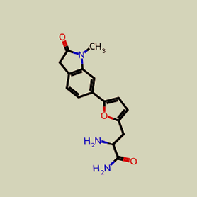 CN1C(=O)Cc2ccc(-c3ccc(C[C@H](N)C(N)=O)o3)cc21